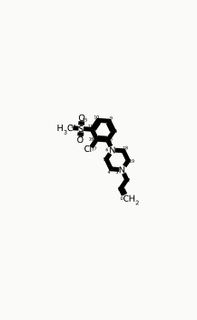 C=CCN1CCN(c2cccc(S(C)(=O)=O)c2Cl)CC1